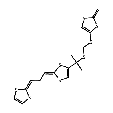 C=C1SC=C(SCSC(C)(C)C2=CS/C(=C\CC=C3SC=CS3)S2)S1